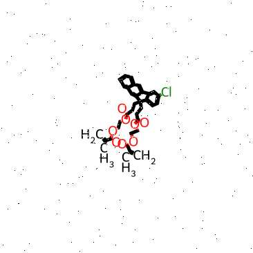 C=C(C)C(=O)OCCOC(=O)CCC1(CCC(=O)OCCOC(=O)C(=C)C)c2ccc(Cl)cc2-c2cc3ccccc3cc21